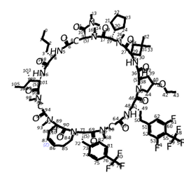 CCCC[C@@H]1NC(=O)C[C@@H](C(=O)N(C)C)N(C)C(=O)[C@H](C2CCCC2)N(C)C(=O)C2(CC(C)(C)C2)NC(=O)[C@@H]2C[C@@H](OCC)CN2C(=O)[C@H](CCc2cc(F)c(C(F)(F)F)c(F)c2)NC(=O)CN(C)C(=O)[C@H](Cc2ccc(C(F)(F)F)cc2)N2CC/C=C\C[C@@H](C2=O)N(C)C(=O)CN(C)C(=O)[C@H]([C@@H](C)CC)NC1=O